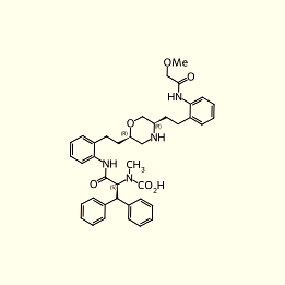 COCC(=O)Nc1ccccc1CC[C@@H]1CO[C@H](CCc2ccccc2NC(=O)[C@H](C(c2ccccc2)c2ccccc2)N(C)C(=O)O)CN1